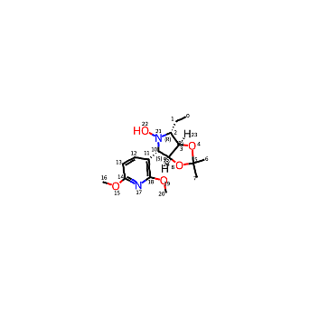 CC[C@@H]1[C@H]2OC(C)(C)O[C@H]2[C@H](c2ccc(OC)nc2OC)N1O